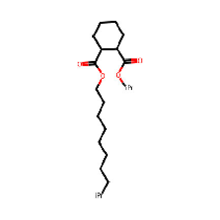 CC(C)CCCCCCCCOC(=O)C1CCCCC1C(=O)OC(C)C